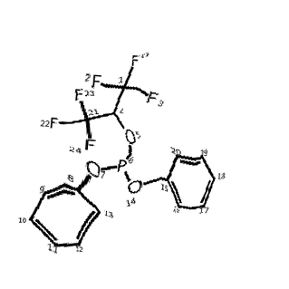 FC(F)(F)C(OP(Oc1ccccc1)Oc1ccccc1)C(F)(F)F